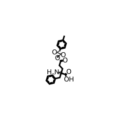 Cc1ccc(S(=O)(=O)OC(=O)CC[C@@](N)(Cc2ccccc2)C(=O)O)cc1